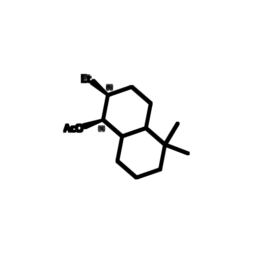 CC[C@H]1CCC2C(CCCC2(C)C)[C@H]1OC(C)=O